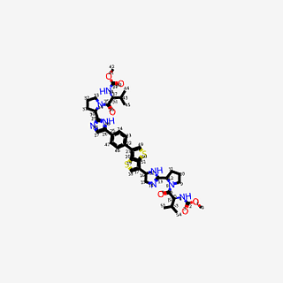 COC(=O)N[C@H](C(=O)N1CCCC1C1=NCC(c2csc3c(-c4ccc(-c5cnc(C6CCCN6C(=O)[C@@H](NC(=O)OC)C(C)C)[nH]5)cc4)csc23)N1)C(C)C